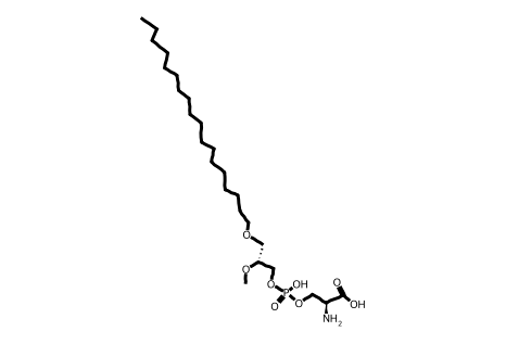 CCCCCCCCCCCCCCCCCCOC[C@H](COP(=O)(O)OC[C@H](N)C(=O)O)OC